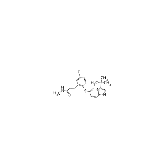 CNC(=O)C=Cc1cc(F)ccc1Sc1ccc2nnc(C(C)(C)C)n2c1